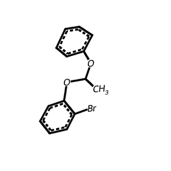 CC(Oc1ccccc1)Oc1ccccc1Br